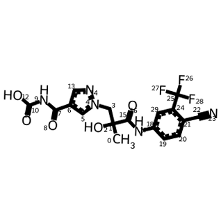 CC(O)(Cn1cc(C(=O)NC(=O)O)cn1)C(=O)Nc1ccc(C#N)c(C(F)(F)F)c1